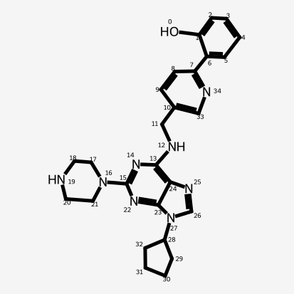 Oc1ccccc1-c1ccc(CNc2nc(N3CCNCC3)nc3c2ncn3C2CCCC2)cn1